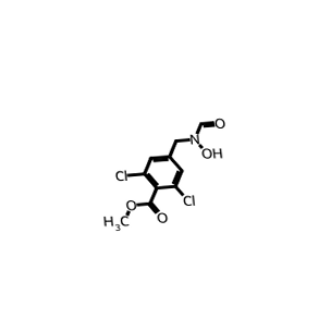 COC(=O)c1c(Cl)cc(CN(O)C=O)cc1Cl